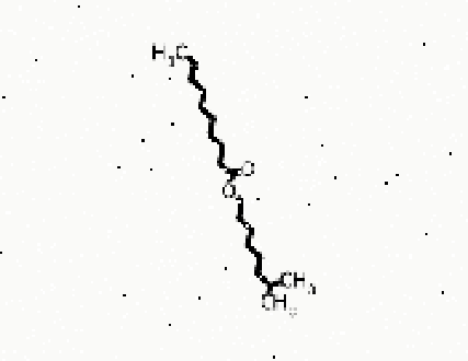 CCCCCCCCCC(=O)OCCCCCCC(C)C